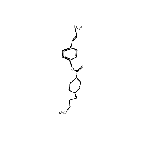 COCCCC1CCC(C(=O)Oc2ccc(C=CC(=O)O)cc2)CC1